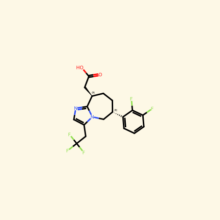 O=C(O)C[C@H]1CC[C@H](c2cccc(F)c2F)Cn2c(CC(F)(F)F)cnc21